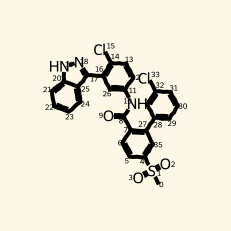 CS(=O)(=O)c1ccc(C(=O)Nc2ccc(Cl)c(-c3n[nH]c4ccccc34)c2)c(-c2cccc(Cl)c2)c1